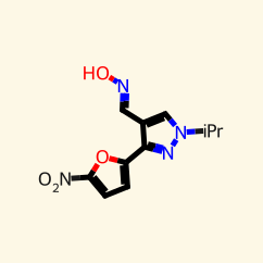 CC(C)n1cc(C=NO)c(-c2ccc([N+](=O)[O-])o2)n1